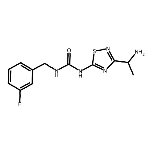 CC(N)c1nsc(NC(=O)NCc2cccc(F)c2)n1